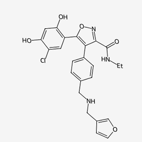 CCNC(=O)c1noc(-c2cc(Cl)c(O)cc2O)c1-c1ccc(CNCc2ccoc2)cc1